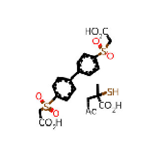 CC(=O)CC(C)(S)C(=O)O.O=C(O)CS(=O)(=O)c1ccc(-c2ccc(S(=O)(=O)CC(=O)O)cc2)cc1